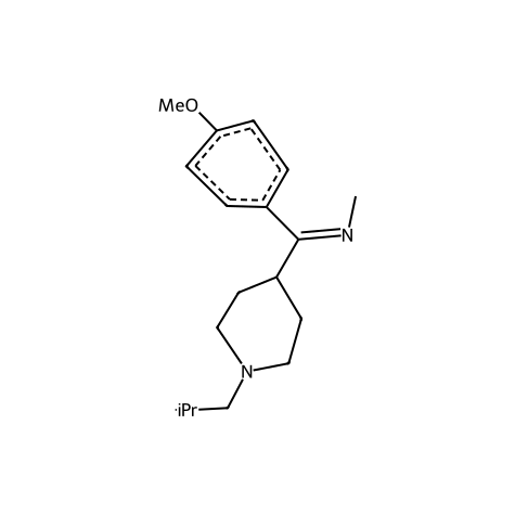 C/N=C(\c1ccc(OC)cc1)C1CCN(C[C](C)C)CC1